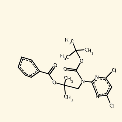 CC(C)(C)OC(=O)N(CC(C)(C)OC(=O)c1ccccc1)c1nc(Cl)cc(Cl)n1